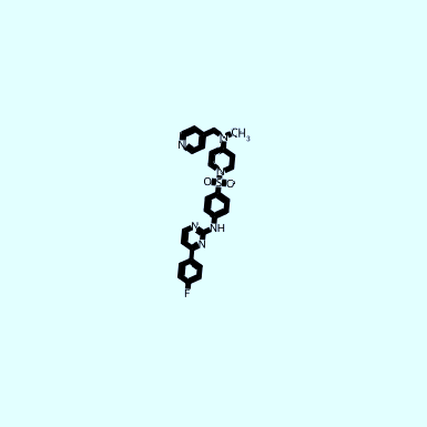 CN(Cc1ccncc1)C1CCN(S(=O)(=O)c2ccc(Nc3nccc(-c4ccc(F)cc4)n3)cc2)CC1